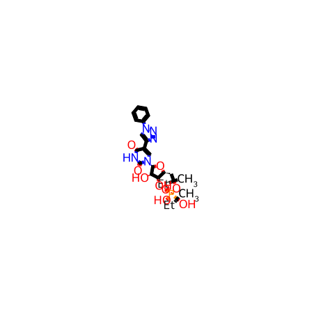 CCC(C)(C[C@H]1O[C@@H](n2cc(-c3cn(-c4ccccc4)nn3)c(=O)[nH]c2=O)[C@@H](O)C1O)OP(=O)(O)C(C)(O)CC